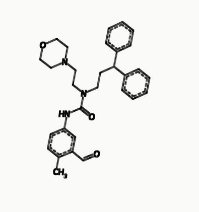 Cc1ccc(NC(=O)N(CCC(c2ccccc2)c2ccccc2)CCN2CCOCC2)cc1C=O